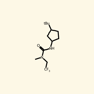 CN(CC(F)(F)F)C(=O)NC1CCC(C(C)(C)C)C1